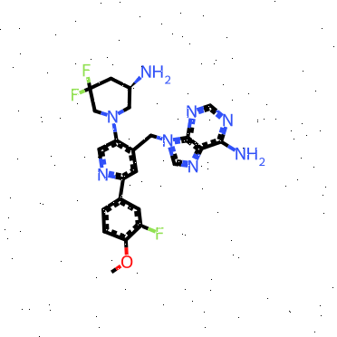 COc1ccc(-c2cc(Cn3cnc4c(N)ncnc43)c(N3C[C@H](N)CC(F)(F)C3)cn2)cc1F